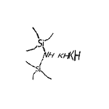 C[Si](C)(C)N[Si](C)(C)C.[KH].[KH]